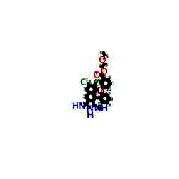 CCOCCOC(=O)c1cccc(Oc2c(Cl)c(Cl)cc3cc4c(c(-c5ccccc5F)c23)C(=N)NC4=N)c1